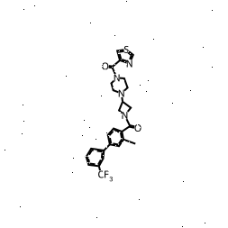 Cc1cc(-c2cccc(C(F)(F)F)c2)ccc1C(=O)N1CC(N2CCN(C(=O)c3cscn3)CC2)C1